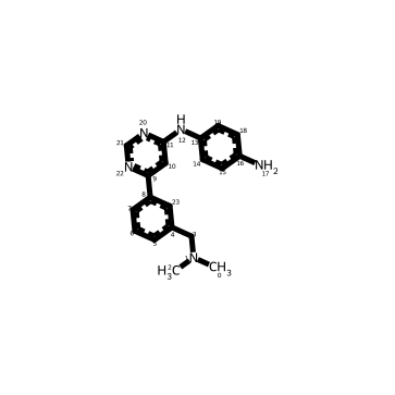 CN(C)Cc1cccc(-c2cc(Nc3ccc(N)cc3)ncn2)c1